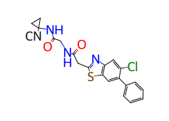 N#CC1(NC(=O)CNC(=O)Cc2nc3cc(Cl)c(-c4ccccc4)cc3s2)CC1